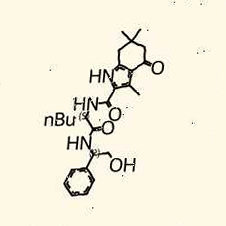 CCCC[C@H](NC(=O)c1[nH]c2c(c1C)C(=O)CC(C)(C)C2)C(=O)N[C@@H](CO)c1ccccc1